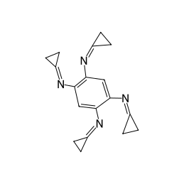 c1c(N=C2CC2)c(N=C2CC2)cc(N=C2CC2)c1N=C1CC1